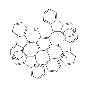 Cc1cccc(C)c1-c1c(-n2c3ccccc3c3ccccc32)c(-n2c3ccccc3c3ccccc32)c(C#N)c(-n2c3ccccc3c3ccccc32)c1-n1c2ccccc2c2ccccc21